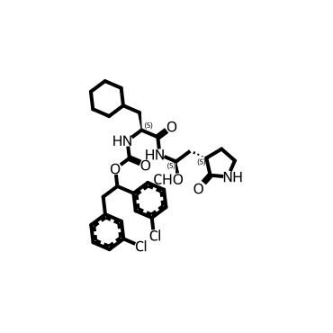 O=C[C@H](C[C@@H]1CCNC1=O)NC(=O)[C@H](CC1CCCCC1)NC(=O)OC(Cc1cccc(Cl)c1)c1cccc(Cl)c1